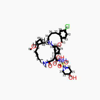 CO[C@H]1/C=C/CCN(C)C(=O)C[C@](O)(C(=O)NS(=O)(=O)N2CCC(O)CC2)c2ccc3c(c2)N(CCCCc2cc(Cl)ccc2CO3)C[C@@H]2CC[C@H]21